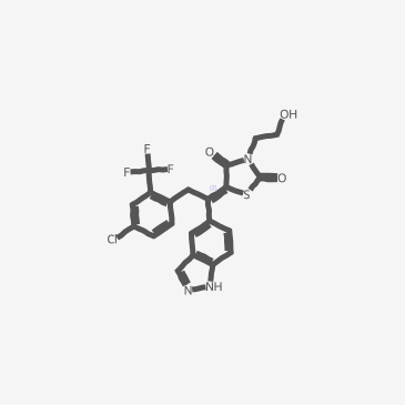 O=C1S/C(=C(/Cc2ccc(Cl)cc2C(F)(F)F)c2ccc3[nH]ncc3c2)C(=O)N1CCO